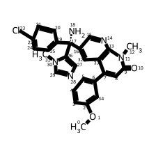 COc1cccc(-c2cc(=O)n(C)c3ncc([C@](N)(c4ccc(Cl)cc4)c4cncn4C)cc23)c1